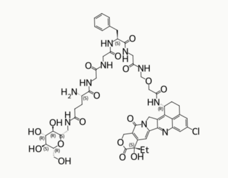 CC[C@@]1(O)C(=O)OCc2c1cc1n(c2=O)Cc2c-1nc1cc(Cl)cc3c1c2[C@H](NC(=O)COCNC(=O)CNC(=O)[C@H](Cc1ccccc1)NC(=O)CNC(=O)CNC(=O)[C@@H](N)CCC(=O)NC[C@@H]1O[C@H](CO)[C@@H](O)[C@H](O)[C@H]1O)CC3